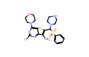 Cc1c(C(N2CCNCC2)S(=O)(=O)c2ccccc2)sc2c(N3CCOCC3)nc(Cl)nc12